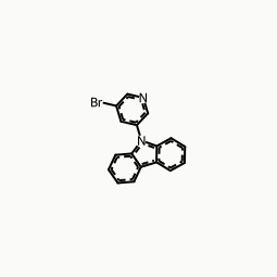 Brc1cncc(-n2c3ccccc3c3ccccc32)c1